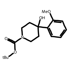 COc1ccccc1C1(O)CCN(C(=O)OC(C)(C)C)CC1